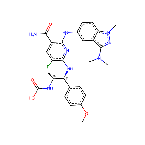 COc1ccc([C@H](Nc2nc(Nc3ccc4c(c3)c(N(C)C)nn4C)c(C(N)=O)cc2F)[C@H](C)NC(=O)O)cc1